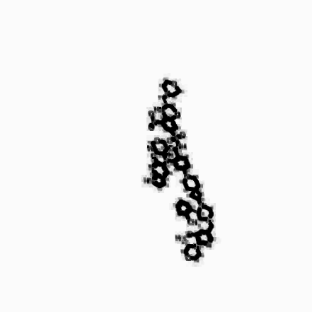 COc1cc(CN2CCN(C3CC4(CCN(c5ccc(C(=O)NS(=O)(=O)c6cc7c(c([N+](=O)[O-])c6)N[C@@H](CN6CCOCC6)CO7)c(N6c7cc8cc[nH]c8nc7O[C@H]7COCC[C@@H]76)c5)CC4)C3)[C@H](c3ccccc3C)C2)cnc1N1CCOCC1